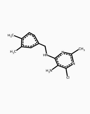 Cc1nc(Cl)c(N)c(NCc2ccc(C)c(C)c2)n1